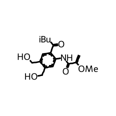 C=C(OC)C(=O)Nc1cc(CO)c(CO)cc1C(=O)C(C)CC